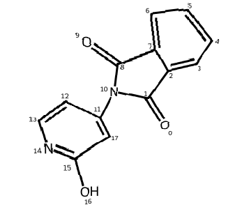 O=C1c2ccccc2C(=O)N1c1ccnc(O)c1